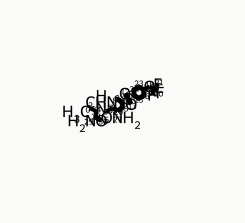 CC(C)[C@H](NC(=O)c1ncc(S(=O)(=O)c2ccc(OC(F)(F)F)cc2)cc1N)C(N)=O